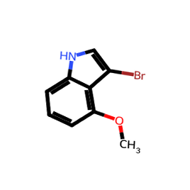 COc1cccc2[nH]cc(Br)c12